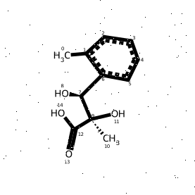 Cc1ccccc1[C@H](O)[C@@](C)(O)C(=O)O